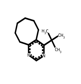 CC(C)(C)c1ncnc2c1CCCCCC2